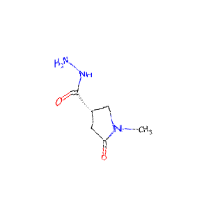 CN1C[C@@H](C(=O)NN)CC1=O